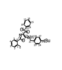 Cc1ccccc1-c1nc(S(=O)(=O)c2ccccc2)c(NCc2ccc(C(C)(C)C)cc2)o1